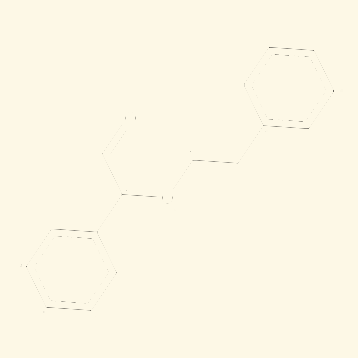 O=CC(OCCc1ccccc1)c1ccccc1